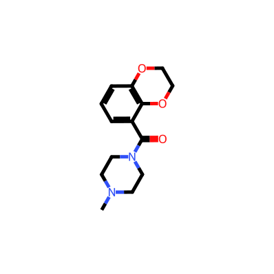 CN1CCN(C(=O)c2cccc3c2OCCO3)CC1